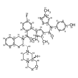 Cc1c(C(=O)N(c2ccc(O)cc2)c2cnn(C)c2)cc(-c2cc(F)ccc2C(=O)N2Cc3ccccc3C[C@H]2CN2CCN3CCOC[C@H]3C2)n1C